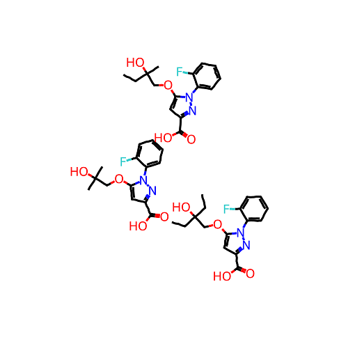 CC(C)(O)COc1cc(C(=O)O)nn1-c1ccccc1F.CCC(C)(O)COc1cc(C(=O)O)nn1-c1ccccc1F.CCC(O)(CC)COc1cc(C(=O)O)nn1-c1ccccc1F